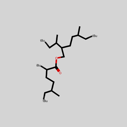 CCC(C)C(CCC(C)CC(C)(C)C)C(=O)OCC(CCC(C)CC(C)(C)C)C(C)CC(C)(C)C